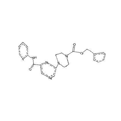 O=C(Nc1ccccn1)c1cncc(N2CCN(C(=O)OCc3ccccc3)CC2)n1